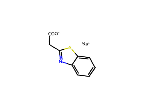 O=C([O-])Cc1nc2ccccc2s1.[Na+]